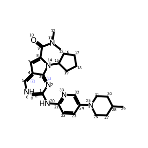 C=C(/N=C1\C(=C/N)C=C(C(=O)N(C)C)N1C1CCCC1)Nc1ccc(N2CCC(C)CC2)cn1